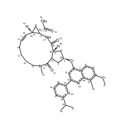 COc1ccc2c(O[C@H]3CC4C(=O)N(C)CCCC/C=C\[C@@H]5C[C@@]5(C(=O)O)NC(=O)[C@@H]4C3)cc(-c3cccc(C(C)C)n3)nc2c1C